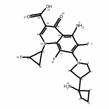 Nc1c(F)c(N2CCC(C3(N)CCC3)C2)c(F)c2c1c(=O)c(C(=O)O)cn2C1CC1F